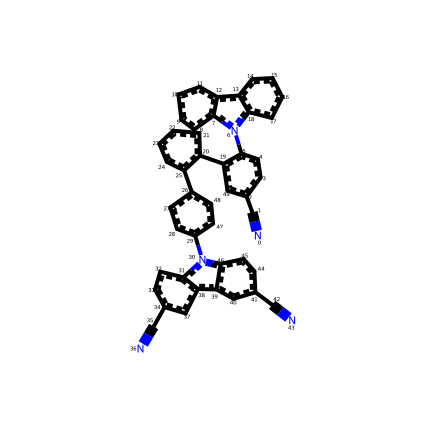 N#Cc1ccc(-n2c3ccccc3c3ccccc32)c(-c2ccccc2-c2ccc(-n3c4ccc(C#N)cc4c4cc(C#N)ccc43)cc2)c1